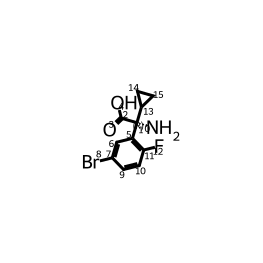 N[C@@](C(=O)O)(c1cc(Br)ccc1F)C1CC1